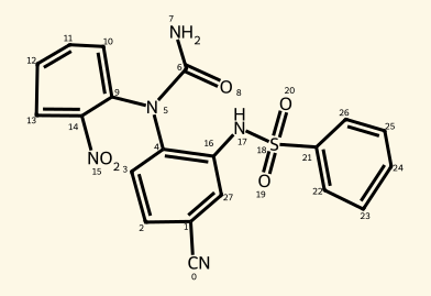 N#Cc1ccc(N(C(N)=O)c2ccccc2[N+](=O)[O-])c(NS(=O)(=O)c2ccccc2)c1